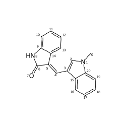 Cn1cc(/C=C2/C(=O)Nc3ccccc32)c2ccccc21